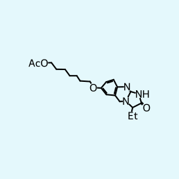 CCC1C(=O)NC2=Nc3ccc(OCCCCCCCOC(C)=O)cc3CN21